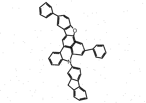 c1ccc(-c2cccc(N(c3ccc4c(c3)Cc3ccccc3-4)c3ccccc3-c3ccc4oc5ccc(-c6ccccc6)cc5c4c3)c2)cc1